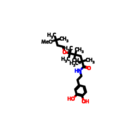 COC(C)(C)CCOC(C)(C)C(C)(C)CC(C)(C)C(=O)NCCc1ccc(O)c(O)c1